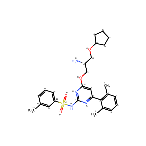 Cc1cccc(C)c1-c1cc(OC[C@H](N)COC2CCCC2)nc(NS(=O)(=O)c2cccc(C(=O)O)c2)n1